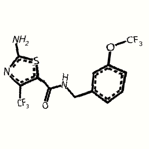 Nc1nc(C(F)(F)F)c(C(=O)NCc2cccc(OC(F)(F)F)c2)s1